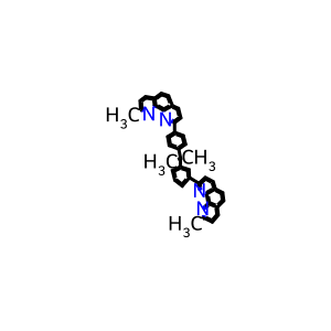 Cc1ccc2ccc3ccc(-c4ccc(C(C)(C)c5cccc(-c6ccc7ccc8ccc(C)nc8c7n6)c5)cc4)nc3c2n1